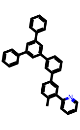 Cc1ccc(-c2cccc(-c3cc(-c4ccccc4)cc(-c4ccccc4)c3)c2)cc1-c1ccccn1